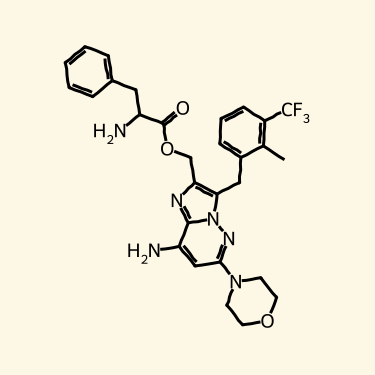 Cc1c(Cc2c(COC(=O)C(N)Cc3ccccc3)nc3c(N)cc(N4CCOCC4)nn23)cccc1C(F)(F)F